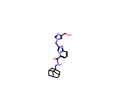 O=C(NCC12CC3CC(CC(C3)C1)C2)c1cccc2nc(Cn3cnc(CO)c3)cn12